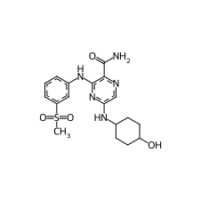 CS(=O)(=O)c1cccc(Nc2nc(NC3CCC(O)CC3)cnc2C(N)=O)c1